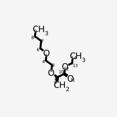 C=C(OCCOCCCC)C(=O)OCC